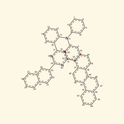 c1ccc(N(c2ccccc2)c2ccccc2-c2nc(-c3ccc4ccccc4c3)nc(-c3cccc4c3ccc3c5ccccc5ccc43)n2)cc1